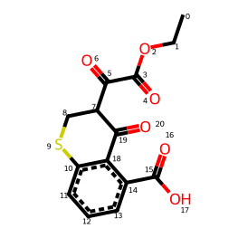 CCOC(=O)C(=O)C1CSc2cccc(C(=O)O)c2C1=O